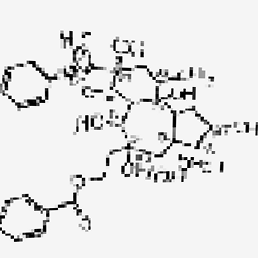 C=C(C)[C@]1(O)C[C@@H](C)[C@@]2(O)C([C@H]1OC(=O)c1ccccc1)[C@H](O)[C@@](O)(CCOC(=O)c1ccccc1)[C@@H](O)[C@@]1(O)C2C[C@H](C)[C@@H]1O